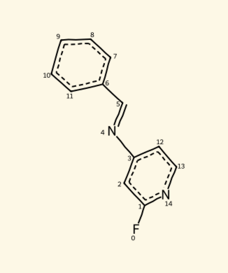 Fc1cc(/N=C/c2ccccc2)ccn1